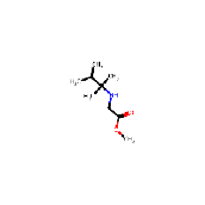 COC(=O)CNC(C)(C)C(C)C